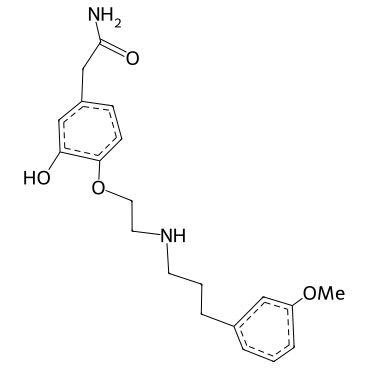 COc1cccc(CCCNCCOc2ccc(CC(N)=O)cc2O)c1